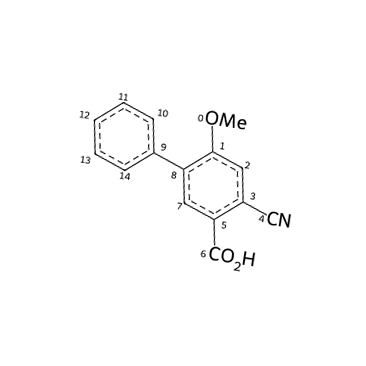 COc1cc(C#N)c(C(=O)O)cc1-c1ccccc1